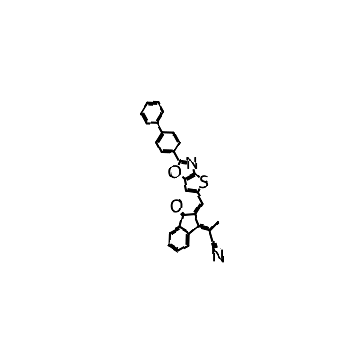 C/C(C#N)=C1\C(=C\c2cc3oc(-c4ccc(-c5ccccc5)cc4)nc3s2)C(=O)c2ccccc21